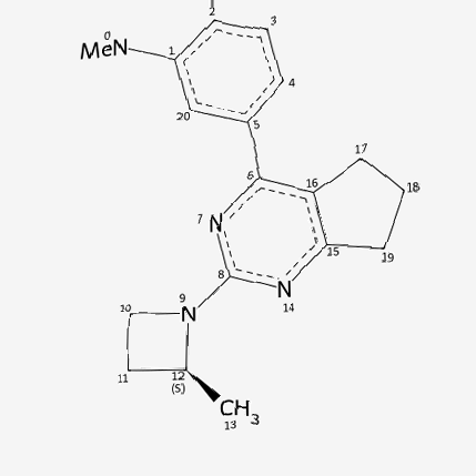 CNc1cccc(-c2nc(N3CC[C@@H]3C)nc3c2CCC3)c1